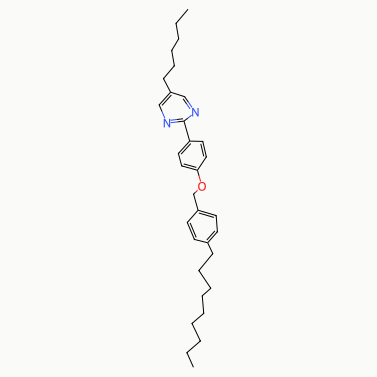 CCCCCCCCCc1ccc(COc2ccc(-c3ncc(CCCCCC)cn3)cc2)cc1